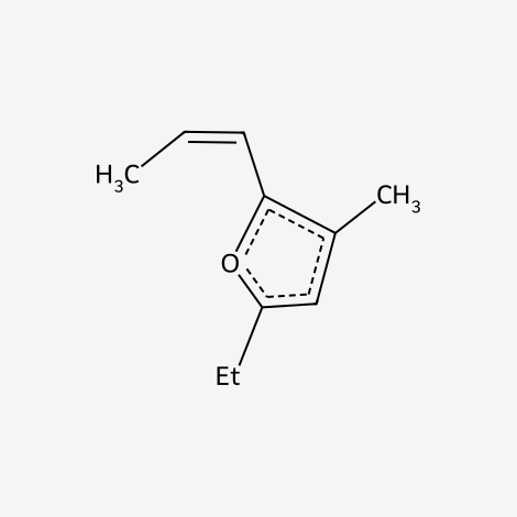 C/C=C\c1oc(CC)cc1C